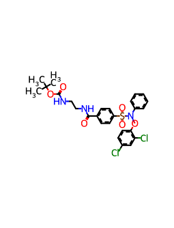 CC(C)(C)OC(=O)NCCNC(=O)c1ccc(S(=O)(=O)N(Oc2ccc(Cl)cc2Cl)c2ccccc2)cc1